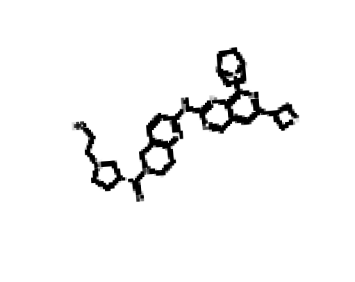 O=C([C@@H]1CCN(CCO)C1)N1CCc2nc(Nc3ncc4cc(C5COC5)nc(N5C6CCC5CC6)c4n3)ccc2C1